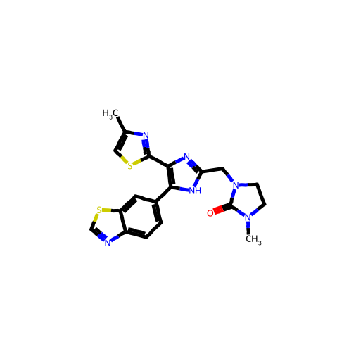 Cc1csc(-c2nc(CN3CCN(C)C3=O)[nH]c2-c2ccc3ncsc3c2)n1